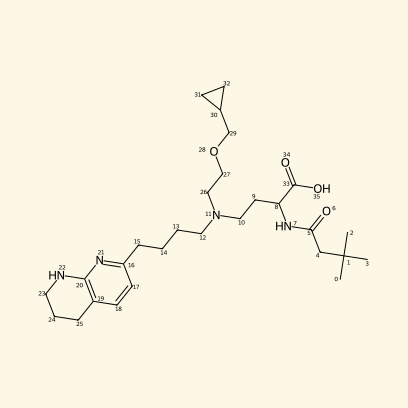 CC(C)(C)CC(=O)NC(CCN(CCCCc1ccc2c(n1)NCCC2)CCOCC1CC1)C(=O)O